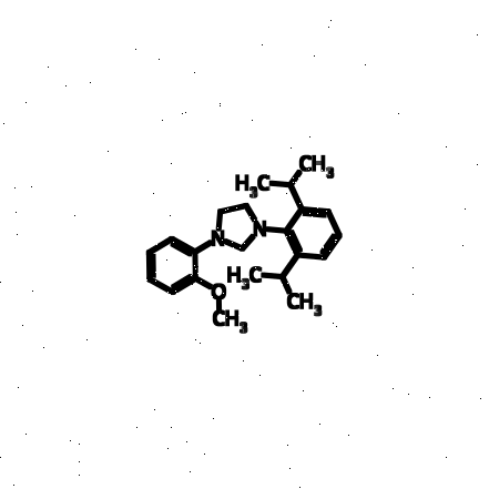 COc1ccccc1N1CCN(c2c(C(C)C)cccc2C(C)C)C1